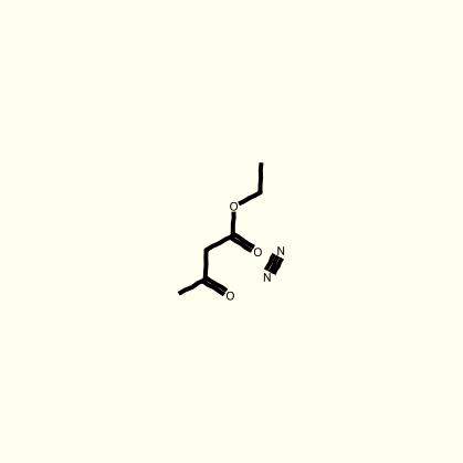 CCOC(=O)CC(C)=O.N#N